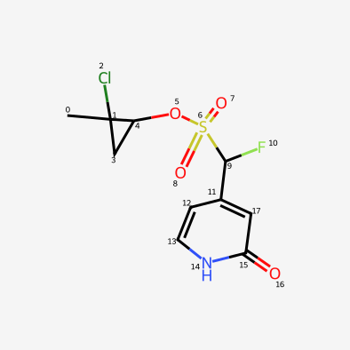 CC1(Cl)CC1OS(=O)(=O)C(F)c1cc[nH]c(=O)c1